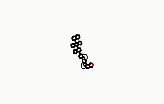 c1ccc2c(-c3c4ccccc4c(-c4ccc(-c5ccc6c(c5)oc5cc7c(cc56)oc5ccc6ccccc6c57)c5ccccc45)c4ccccc34)cccc2c1